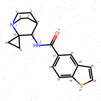 O=C(NC1C2CCN(CC2)C12CC2)c1ccc2sccc2c1